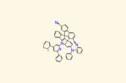 CC1CC=CC=C1c1cc(-c2ccccc2)nc(N2C3=C(C4(c5ccccc53)c3cc(C#N)ccc3-c3ccc(C#N)cc34)C3(C)C=CC(N(c4ccccc4)c4ccccc4)=CC23)c1